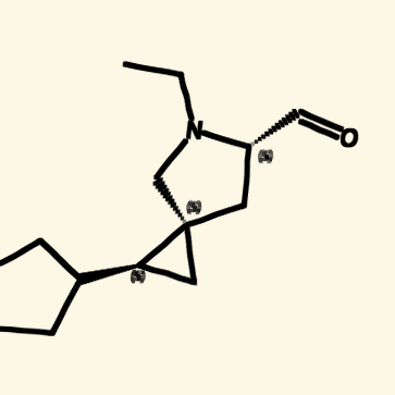 CCN1C[C@]2(C[C@H]1C=O)C[C@H]2C1CCCC1